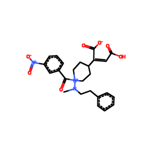 CN(CCc1ccccc1)[N+]1(C(=O)c2cccc([N+](=O)[O-])c2)CCC(/C(=C/C(=O)O)C(=O)[O-])CC1